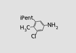 CCCC(C)c1cc(N)cc(Cl)c1C